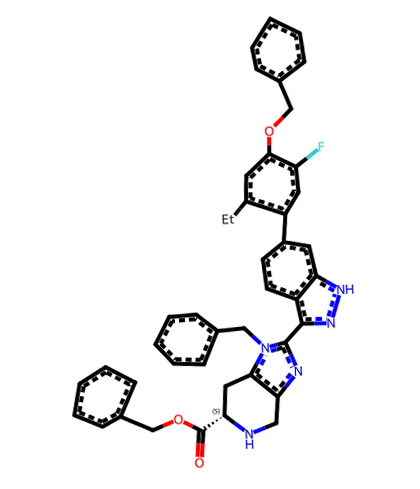 CCc1cc(OCc2ccccc2)c(F)cc1-c1ccc2c(-c3nc4c(n3Cc3ccccc3)C[C@@H](C(=O)OCc3ccccc3)NC4)n[nH]c2c1